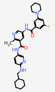 Cc1ncc(NC(=O)c2cc(F)cc(N3CCCCC3)c2)cc1C(=O)Nc1ccc(NCC2CCCCC2)nc1